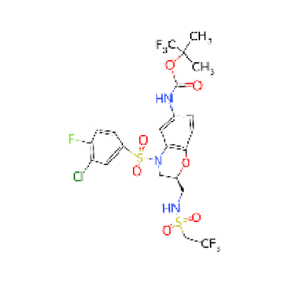 CC(C)(OC(=O)Nc1ccc2c(c1)N(S(=O)(=O)c1ccc(F)c(Cl)c1)C[C@H](CNS(=O)(=O)CC(F)(F)F)O2)C(F)(F)F